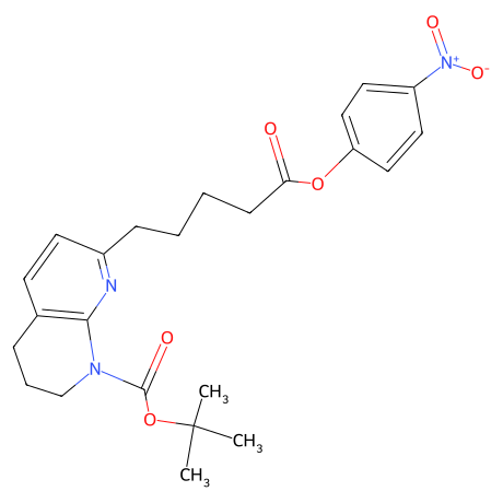 CC(C)(C)OC(=O)N1CCCc2ccc(CCCCC(=O)Oc3ccc([N+](=O)[O-])cc3)nc21